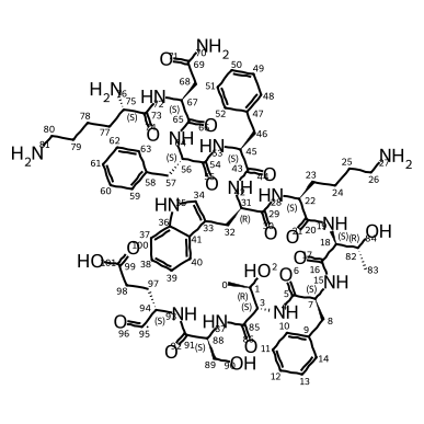 C[C@@H](O)[C@H](NC(=O)[C@H](Cc1ccccc1)NC(=O)[C@@H](NC(=O)[C@H](CCCCN)NC(=O)[C@@H](Cc1c[nH]c2ccccc12)NC(=O)[C@H](Cc1ccccc1)NC(=O)[C@H](Cc1ccccc1)NC(=O)[C@H](CC(N)=O)NC(=O)[C@@H](N)CCCCN)[C@@H](C)O)C(=O)N[C@@H](CO)C(=O)N[C@H]([C]=O)CCC(=O)O